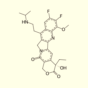 CC[C@@]1(O)C(=O)OCc2c1cc1n(c2=O)Cc2c-1nc1c(OC)c(F)c(F)cc1c2CCNC(C)C